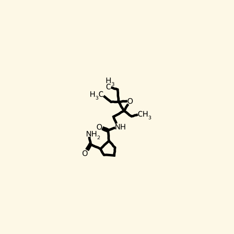 CCC1(CC)OC1(CC)CNC(=O)C1CCCC1C(N)=O